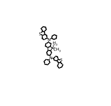 CC1(C)c2cc(N(c3ccccc3)c3ccc4sc5ccccc5c4c3)ccc2-c2ccc(N(c3ccccc3)c3ccc4sc5ccccc5c4c3)cc21